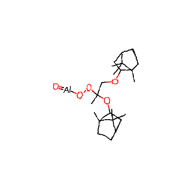 CC(COC1CC2CCC1(C)C2(C)C)(O[O][Al]=[O])OC1CC2CCC1(C)C2(C)C